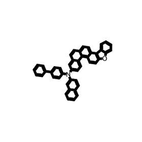 c1ccc(-c2ccc(N(c3ccc4ccccc4c3)c3ccc4c(ccc5ccc6c(ccc7oc8ccccc8c76)c54)c3)cc2)cc1